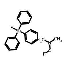 CN(C)SF.[F][Sn]([c]1ccccc1)([c]1ccccc1)[c]1ccccc1